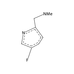 CNCc1ccc(F)cn1